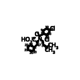 CC(C)=CCN(C(=O)c1ccc(Cl)cc1Cl)[C@@H](Cc1ccccc1)C(=O)O